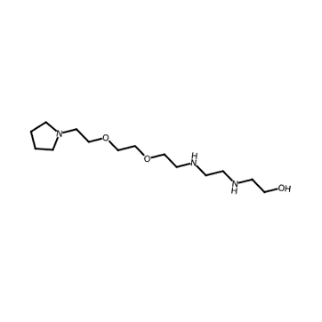 OCCNCCNCCOCCOCCN1CCCC1